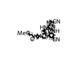 COCCC(=O)N1CC(N2CCN(c3cc(C#N)cc(Nc4nc(NC5CC5)c5ncc(C#N)n5n4)c3Cl)CC2)C1